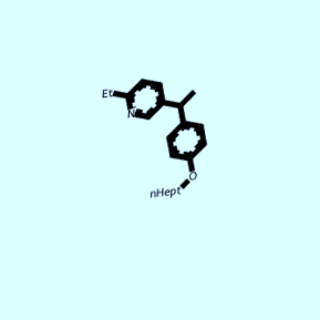 CCCCCCCOc1ccc(C(C)c2ccc(CC)nc2)cc1